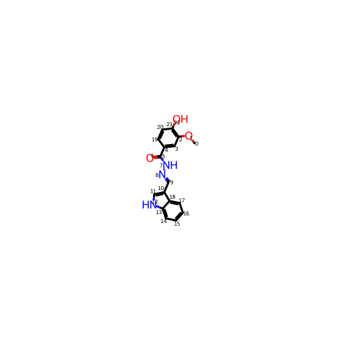 COc1cc(C(=O)NN=Cc2c[nH]c3ccccc23)ccc1O